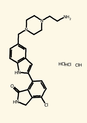 Cl.Cl.Cl.NCCN1CCN(Cc2ccc3[nH]c(-c4ccc(Cl)c5c4C(=O)NC5)cc3c2)CC1